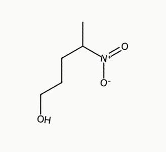 CC(CCCO)[N+](=O)[O-]